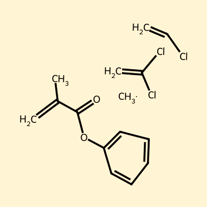 C=C(C)C(=O)Oc1ccccc1.C=C(Cl)Cl.C=CCl.[CH3]